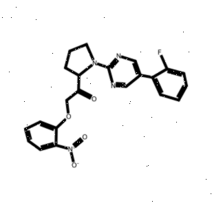 O=C(COc1ccccc1[N+](=O)[O-])C1CCCN1c1ncc(-c2ccccc2F)cn1